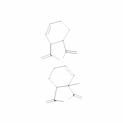 CCCCC12C=CCCC1C(=O)NC2=O.O=C1NC(=O)C2CCC=CC12